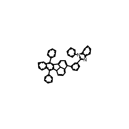 C1=CC2c3c(c(-c4ccccc4)c4ccccc4c3-c3ccccc3)C3=CC=C(c4cccc(-c5nc6ccccc6n5-c5ccccc5)c4)C(=C1)C32